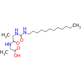 CCCCCCCCCCCCNC(=O)N[C@@H](C)C(=O)N[C@@H](C)C(=O)O